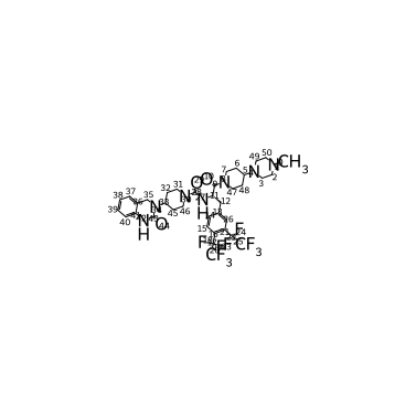 CN1CCN(C2CCN(C(=O)[C@@H](Cc3ccc(C(F)(F)C(F)(F)F)c(C(F)(F)C(F)(F)F)c3)NC(=O)N3CCC(N4Cc5ccccc5NC4=O)CC3)CC2)CC1